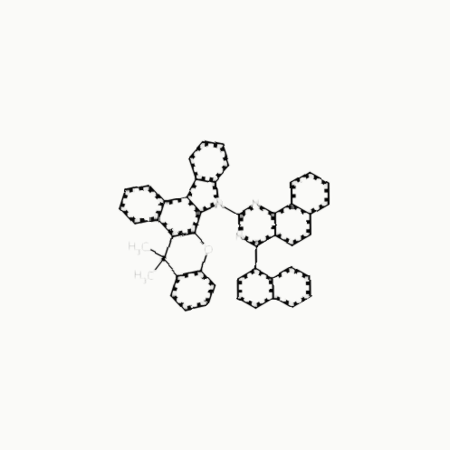 CC1(C)c2ccccc2Oc2c1c1ccccc1c1c3ccccc3n(-c3nc(-c4cccc5ccccc45)c4ccc5ccccc5c4n3)c21